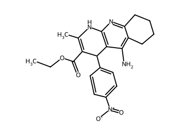 CCOC(=O)C1=C(C)Nc2nc3c(c(N)c2C1c1ccc([N+](=O)[O-])cc1)CCCC3